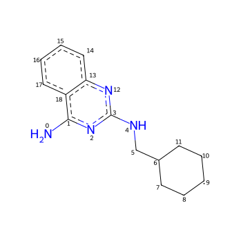 Nc1nc(NCC2CC[CH]CC2)nc2ccccc12